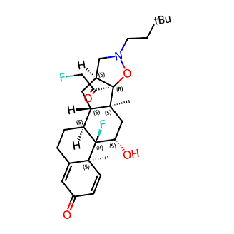 CC(C)(C)CCN1C[C@@H]2C[C@H]3[C@@H]4CCC5=CC(=O)C=C[C@]5(C)[C@@]4(F)[C@@H](O)C[C@]3(C)[C@]2(C(=O)CF)O1